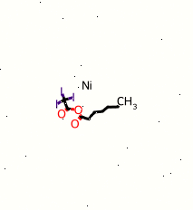 CCCCCCC(=O)OC(=O)C(I)(I)I.[Ni]